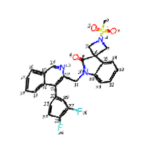 CS(=O)(=O)N1CC2(C1)C(=O)N(Cc1ncc3ccccc3c1-c1ccc(F)c(F)c1)c1ccccc12